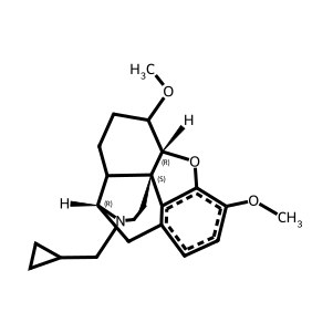 COc1ccc2c3c1O[C@H]1C(OC)CCC4[C@@H](C2)N(CC2CC2)CC[C@@]341